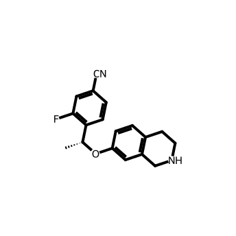 C[C@@H](Oc1ccc2c(c1)CNCC2)c1ccc(C#N)cc1F